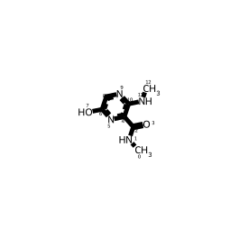 CNC(=O)c1nc(O)cnc1NC